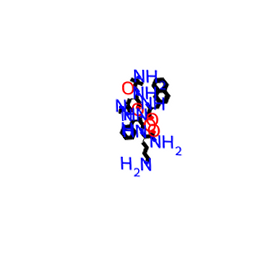 CC(C)(N)C(=O)N[C@@H](Cc1c[nH]cn1)C(=O)N[C@@H](Cc1ccc2ccccc2c1)C(=O)N[C@H](Cc1ccccc1)C(=O)N[C@@H](CCCCN)C(N)=O